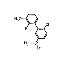 Cc1cccc(-c2cc([S+](C)[O-])ccc2Cl)c1F